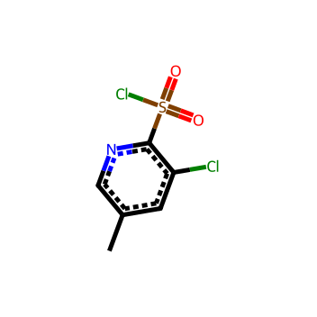 Cc1cnc(S(=O)(=O)Cl)c(Cl)c1